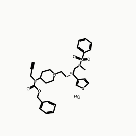 C#CCN(C(=O)OCc1ccccc1)C1CCN(CC[C@H](CN(C)S(=O)(=O)c2ccccc2)c2ccsc2)CC1.Cl